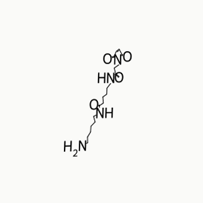 NCCCCCCNC(=O)CCCCCNC(=O)CCN1C(=O)C=CC1=O